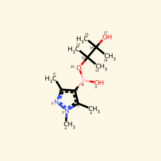 Cc1nn(C)c(C)c1B(O)OC(C)(C)C(C)(C)O